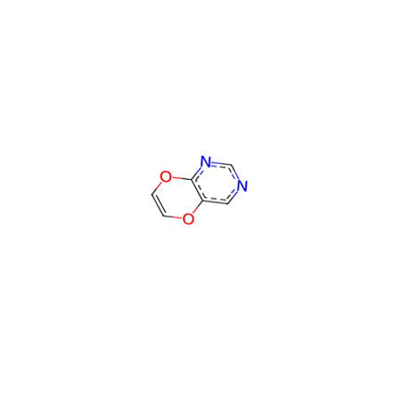 C1=COc2ncncc2O1